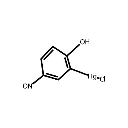 O=Nc1ccc(O)[c]([Hg][Cl])c1